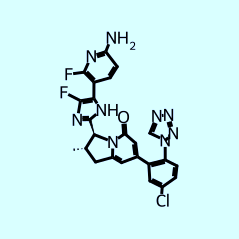 C[C@H]1Cc2cc(-c3cc(Cl)ccc3-n3cnnn3)cc(=O)n2[C@@H]1c1nc(F)c(-c2ccc(N)nc2F)[nH]1